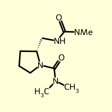 CNC(=O)NC[C@H]1CCCN1C(=O)N(C)C